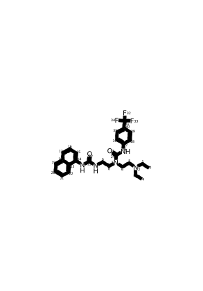 CCN(CC)CCN(CCNC(=O)Nc1cccc2ccccc12)C(=O)Nc1ccc(C(F)(F)F)cc1